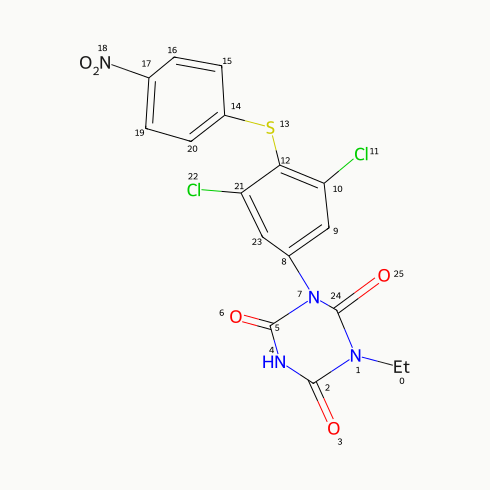 CCn1c(=O)[nH]c(=O)n(-c2cc(Cl)c(Sc3ccc([N+](=O)[O-])cc3)c(Cl)c2)c1=O